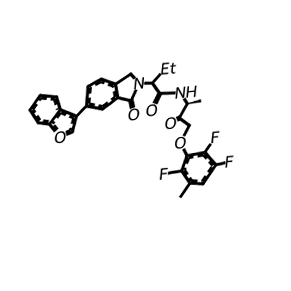 CCC(C(=O)N[C@@H](C)C(=O)COc1c(F)c(C)cc(F)c1F)N1Cc2ccc(-c3coc4ccccc34)cc2C1=O